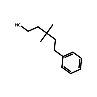 CC(C)(CCC#N)CCc1ccccc1